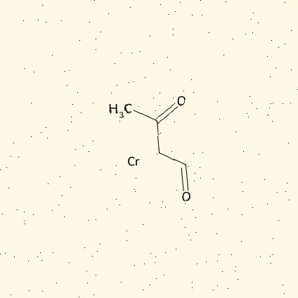 CC(=O)CC=O.[Cr]